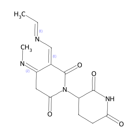 C/C=N/C=C1/C(=O)N(C2CCC(=O)NC2=O)C(=O)C/C1=N/C